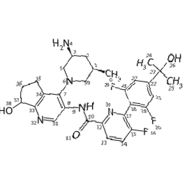 C[C@@H]1C[C@H](N)CN(c2c(NC(=O)c3ccc(F)c(-c4c(F)cc(C(C)(C)O)cc4F)n3)cnc3c2CCC3O)C1